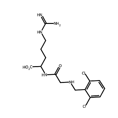 N=C(N)NCCCC(NC(=O)CNCc1c(Cl)cccc1Cl)C(=O)O